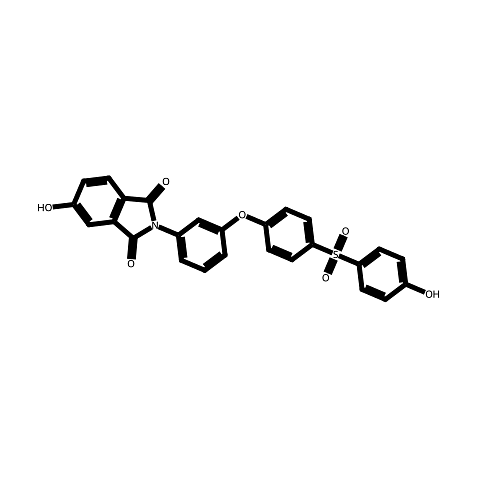 O=C1c2ccc(O)cc2C(=O)N1c1cccc(Oc2ccc(S(=O)(=O)c3ccc(O)cc3)cc2)c1